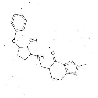 Cc1cc2c(s1)CCC(CNC1CCC(Oc3ccccc3)C1O)C2=O